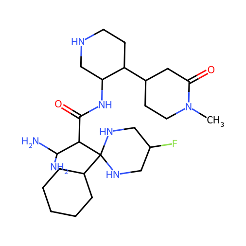 CN1CCC(C2CCNCC2NC(=O)C(C(N)N)C2(C3CCCCC3)NCC(F)CN2)CC1=O